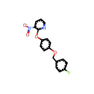 O=[N+]([O-])c1cccnc1Oc1ccc(OCc2ccc(F)cc2)cc1